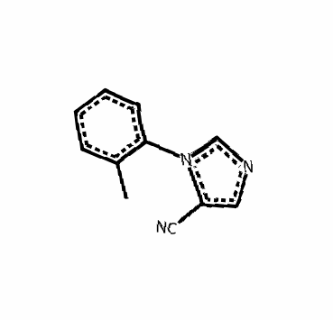 Cc1ccccc1-n1cncc1C#N